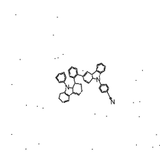 N#Cc1ccc(N2c3ccccc3C3C=C(c4ccccc4C4CCC=C5C6=C(CCC=C6)N(c6ccccc6)C54)C=CC32)cc1